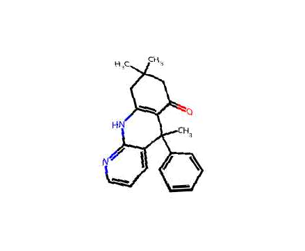 CC1(C)CC(=O)C2=C(C1)Nc1ncccc1C2(C)c1ccccc1